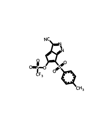 Cc1ccc(S(=O)(=O)C2=C(OS(=O)(=O)C(F)(F)F)C=C3C(C#N)=NN=C32)cc1